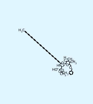 CC#CC#CC#CC#CC#CC#CC#CC#CC#CC#CC#CC#CC(=O)N[C@@H](COC1OC(COCc2ccccc2)C(C)C(C)C1C)[C@@H]1OC(C)(C)O[C@@H]1CO